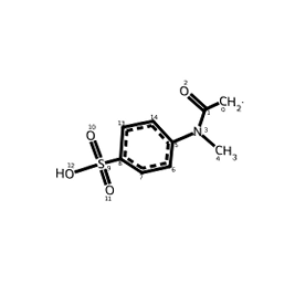 [CH2]C(=O)N(C)c1ccc(S(=O)(=O)O)cc1